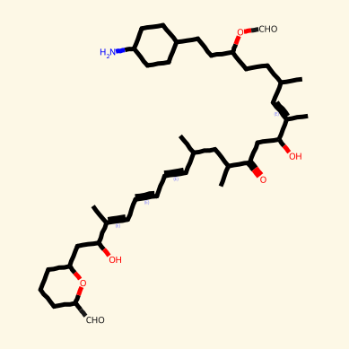 C/C(=C\C(C)CCC(CCC1CCC(N)CC1)OC=O)C(O)CC(=O)C(C)CC(C)/C=C/C=C/C=C(\C)C(O)CC1CCCC(C=O)O1